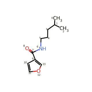 CC(C)CCCNC(=O)c1ccoc1